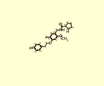 COc1cc(OCCc2ccc(F)cc2)c(F)cc1CNC(=O)C1CCCN1